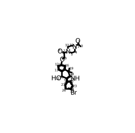 CC(=O)N1CCN(C(=O)COc2ccc3c(c2)C(C)(C)c2[nH]c4cc(Br)ccc4c2C3O)CC1